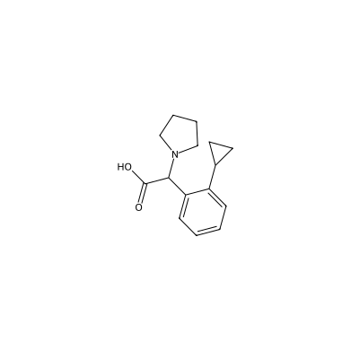 O=C(O)C(c1ccccc1C1CC1)N1CCCC1